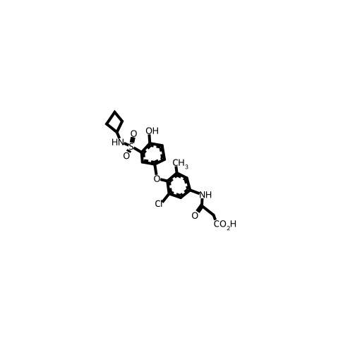 Cc1cc(NC(=O)CC(=O)O)cc(Cl)c1Oc1ccc(O)c(S(=O)(=O)NC2CCC2)c1